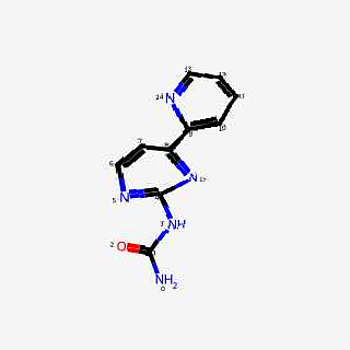 NC(=O)Nc1nccc(-c2ccccn2)n1